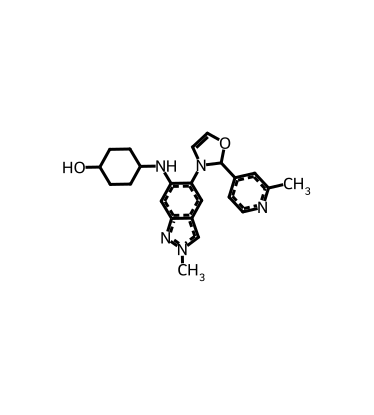 Cc1cc(C2OC=CN2c2cc3cn(C)nc3cc2NC2CCC(O)CC2)ccn1